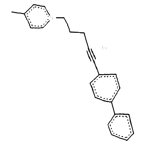 Cc1cc[n+](CCCC#Cc2ccc(-c3ccccc3)cc2)cc1.[Br-]